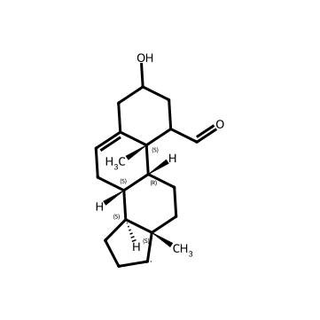 C[C@@]12[CH]CC[C@H]1[C@@H]1CC=C3CC(O)CC(C=O)[C@]3(C)[C@@H]1CC2